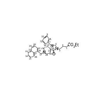 CCOC(=O)CCCN1CN(c2ccccc2)C2(CCN(Cc3cccc4ccccc34)CC2)C1=O